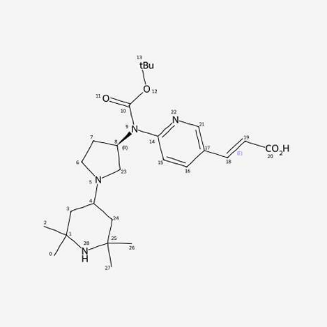 CC1(C)CC(N2CC[C@@H](N(C(=O)OC(C)(C)C)c3ccc(/C=C/C(=O)O)cn3)C2)CC(C)(C)N1